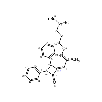 CCCCN(CC)CCCON=C(C)/C=C1/C(=O)N(c2ccccc2)C1c1ccccc1